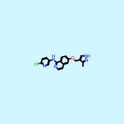 Cc1n[nH]cc1COc1ccc2c(Nc3ccc(Cl)nc3)nccc2c1